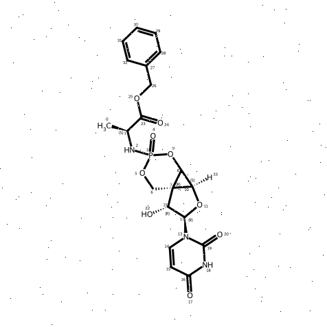 C[C@H](NP1(=O)OC[C@]23C(O1)[C@H]2O[C@@H](n1ccc(=O)[nH]c1=O)[C@@H]3O)C(=O)OCc1ccccc1